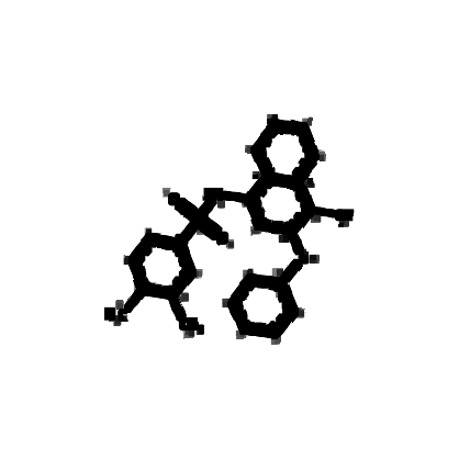 Cc1ccc(S(=O)(=O)Nc2cc(Sc3ccccc3)c(O)c3ccccc23)cc1C